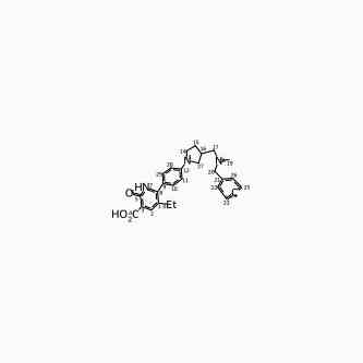 CCc1cc(C(=O)O)c(=O)[nH]c1-c1ccc(N2CCC(CN(C)Cc3ccccc3)C2)cc1